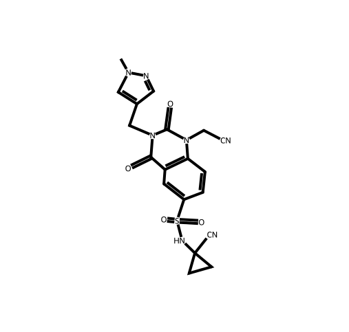 Cn1cc(Cn2c(=O)c3cc(S(=O)(=O)NC4(C#N)CC4)ccc3n(CC#N)c2=O)cn1